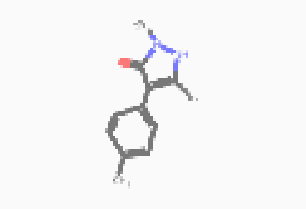 CCc1[nH]n(C(C)(C)C)c(=O)c1-c1ccc(C)cc1